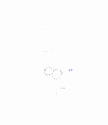 N#Cc1nc(NC2CCOCC2)c2ccn([C@@H]3O[C@H](COCP(=O)(O)O)[C@@H](O)[C@H]3O)c2n1